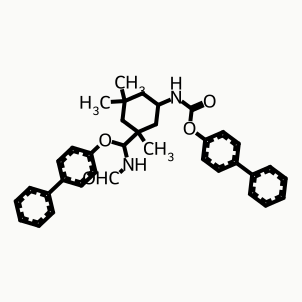 CC1(C)CC(NC(=O)Oc2ccc(-c3ccccc3)cc2)CC(C)(C(NC=O)Oc2ccc(-c3ccccc3)cc2)C1